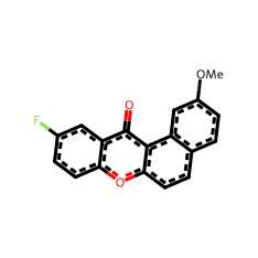 COc1ccc2ccc3oc4ccc(F)cc4c(=O)c3c2c1